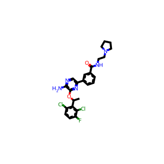 CC(Oc1nc(-c2cccc(C(=O)NCCN3CCCC3)c2)cnc1N)c1c(Cl)ccc(F)c1Cl